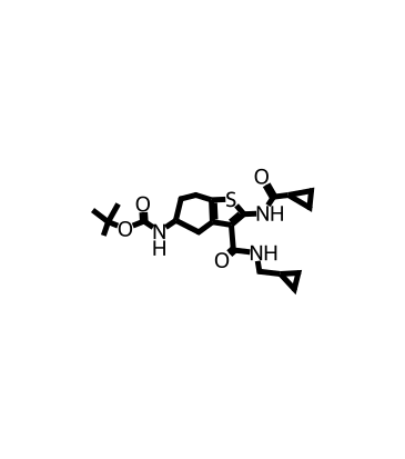 CC(C)(C)OC(=O)NC1CCc2sc(NC(=O)C3CC3)c(C(=O)NCC3CC3)c2C1